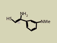 CNc1cccc(/C(N)=C/S)c1